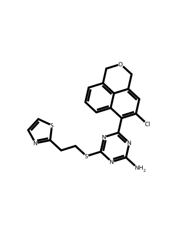 Nc1nc(SCCc2nccs2)nc(-c2c(Cl)cc3c4c(cccc24)COC3)n1